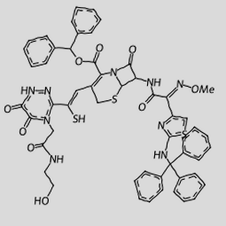 CON=C(C(=O)NC1C(=O)N2C(C(=O)OC(c3ccccc3)c3ccccc3)=C(C=C(S)c3n[nH]c(=O)c(=O)n3CC(=O)NCCO)CSC12)c1csc(NC(c2ccccc2)(c2ccccc2)c2ccccc2)n1